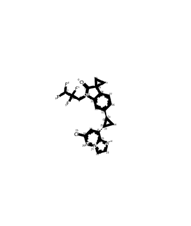 O=C1N(CC(F)(F)C(F)F)c2cc([C@H]3C[C@@H]3c3cc(Cl)nn4ccnc34)ccc2C12CC2